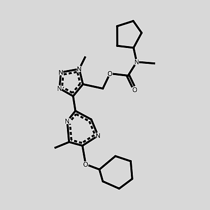 Cc1nc(-c2nnn(C)c2COC(=O)N(C)C2CCCC2)cnc1OC1CCCCC1